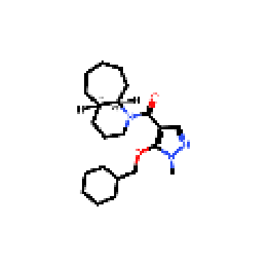 Cn1ncc(C(=O)N2CCC[C@@H]3CCCCC[C@@H]32)c1OCC1CCCCC1